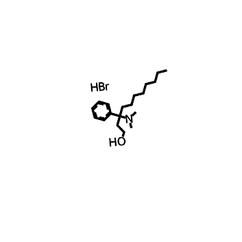 Br.CCCCCCCCC(CCO)(c1ccccc1)N(C)C